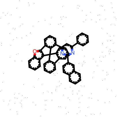 c1ccc(-c2cc(-c3cccc4c3C3(c5ccccc5-c5ccccc53)c3c-4oc4ccccc34)nc(-c3ccc4ccccc4c3)n2)cc1